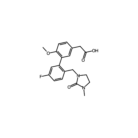 COc1ccc(CC(=O)O)cc1-c1cc(F)ccc1CN1CCN(C)C1=O